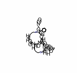 CC1(S(=O)(=O)NC(=O)[C@@]23C[C@H]2/C=C/CCCCC[C@@H]2NC(=O)O[C@@H]4C[C@H]4CCC/C=C/c4c(nc5ccccc5c4OCCN4CCOCC4)O[C@H]4C[C@H](C(=O)N3)N(C4)C2=O)CC1